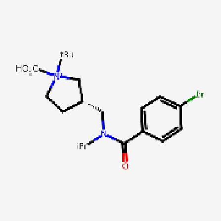 CC(C)N(C[C@@H]1CC[N+](C(=O)O)(C(C)(C)C)C1)C(=O)c1ccc(Br)cc1